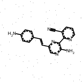 N#Cc1cccnc1-c1nc(C=Cc2ccc(N)cc2)cnc1N